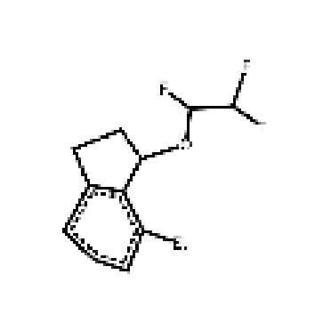 CCc1cccc2c1C(OC(F)C(F)F)CC2